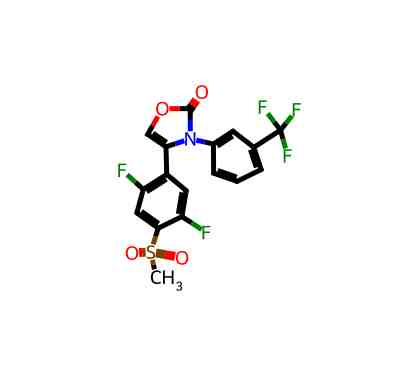 CS(=O)(=O)c1cc(F)c(-c2coc(=O)n2-c2cccc(C(F)(F)F)c2)cc1F